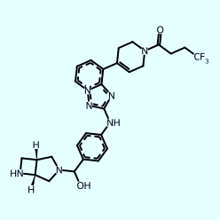 O=C(CCC(F)(F)F)N1CC=C(c2cccn3nc(Nc4ccc(C(O)N5C[C@H]6CN[C@H]6C5)cc4)nc23)CC1